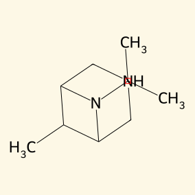 CC1C2CNCC1N2C(C)C